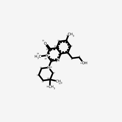 Cc1cc(CCO)c2nc(N3CCCC(C)(C)C3)n(C)c(=O)c2c1